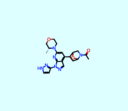 CC(=O)N1CC2OC1CC2c1cc(N2CCOC[C@H]2C)nc2c1cnn2-c1cc[nH]n1